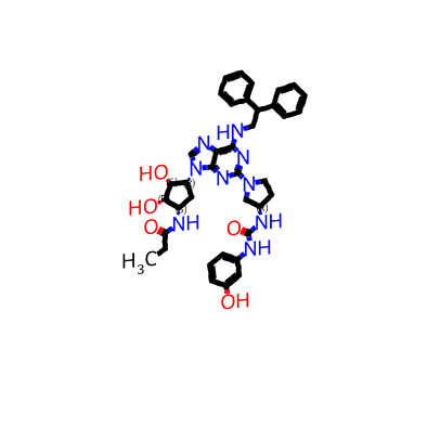 CCC(=O)N[C@H]1C[C@@H](n2cnc3c(NCC(c4ccccc4)c4ccccc4)nc(N4CC[C@@H](NC(=O)Nc5cccc(O)c5)C4)nc32)[C@H](O)[C@@H]1O